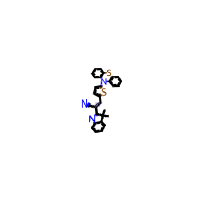 CC1(C)C(/C(C#N)=C/c2ccc(N3c4ccccc4Sc4ccccc43)s2)=Nc2ccccc21